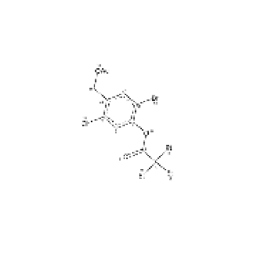 CCC(CC)(CC)C(=O)Oc1cc(Cl)c(COC(C)=O)cc1Br